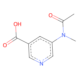 CC(=O)N(C)c1cncc(C(=O)O)c1